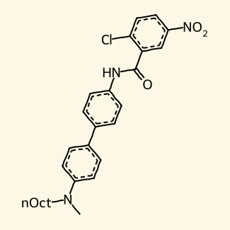 CCCCCCCCN(C)c1ccc(-c2ccc(NC(=O)c3cc([N+](=O)[O-])ccc3Cl)cc2)cc1